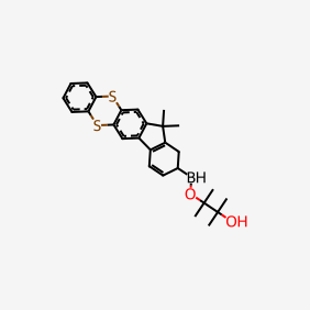 CC1(C)C2=C(C=CC(BOC(C)(C)C(C)(C)O)C2)c2cc3c(cc21)Sc1ccccc1S3